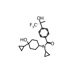 C[C@](O)(c1ccc(C(=O)N(C2CC2)C2CCC(O)(C3CC3)CC2)cc1)C(F)(F)F